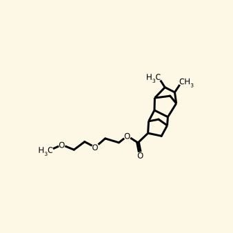 COCCOCCOC(=O)C1CC2CC1C1C3CC(C(C)C3C)C21